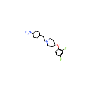 NC1CCC(CCN2CCC(Oc3ccc(F)cc3F)CC2)CC1